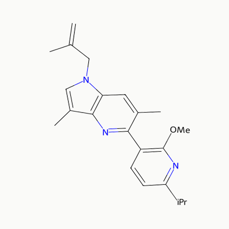 C=C(C)Cn1cc(C)c2nc(-c3ccc(C(C)C)nc3OC)c(C)cc21